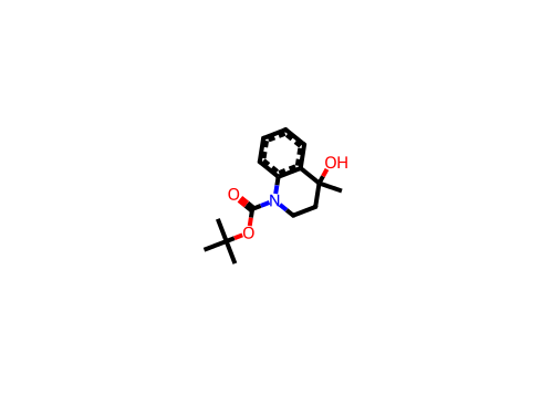 CC(C)(C)OC(=O)N1CCC(C)(O)c2ccccc21